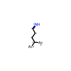 CC(=O)C(CCC=N)C(C)=O